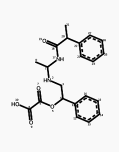 CC(NCC(OC(=O)C(=O)O)c1ccccc1)NC(=O)C(C)c1ccccc1